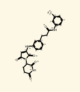 O=C1CCC(N2C(=O)C=C(Nc3cccc(CCC(=O)Nc4cccc(C(F)(F)F)c4)c3)C2=O)C(=O)N1